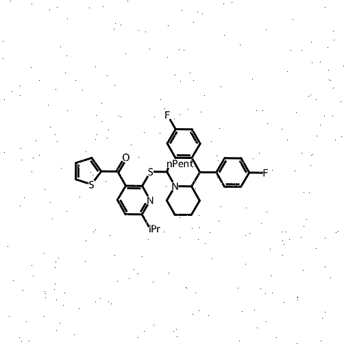 CCCCCC(Sc1nc(C(C)C)ccc1C(=O)c1cccs1)N1CCCCC1C(c1ccc(F)cc1)c1ccc(F)cc1